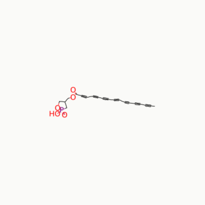 CC#CC#CC#CC#CC#CC#CC#CC(=O)OCC1COP(=O)(O)C1